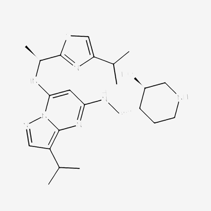 CC(C)c1csc([C@H](C)Nc2cc(NC[C@H]3CCNC[C@@H]3O)nc3c(C(C)C)cnn23)n1